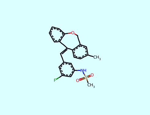 Cc1ccc2c(c1)COc1ccccc1/C2=C/c1cc(F)cc(NS(C)(=O)=O)c1